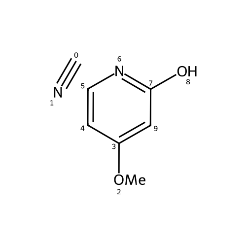 C#N.COc1ccnc(O)c1